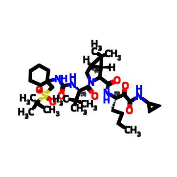 CCCC[C@H](NC(=O)C1[C@@H]2[C@H](CN1C(=O)[C@@H](NC(=O)NC1(CS(=O)(=O)C(C)(C)C)CCCCC1)C(C)(C)C)C2(C)C)C(=O)C(=O)NC1CC1